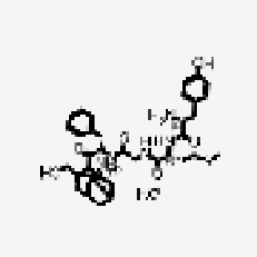 CSCC[C@@H](NC(=O)[C@@H](N)Cc1ccc(O)cc1)C(=O)NCC(=O)N[C@@H](Cc1ccccc1)C(=O)C1C2(N)CC3CC(C2)CC1(CO)C3.Cl